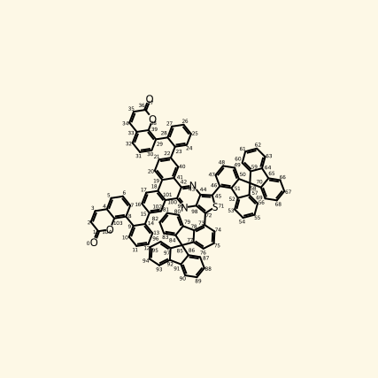 O=c1ccc2cccc(-c3ccccc3-c3ccc4c5ccc(-c6ccccc6-c6cccc7ccc(=O)oc67)cc5c5nc6c(-c7cccc8c7-c7ccccc7C87c8ccccc8-c8ccccc87)sc(-c7cccc8c7-c7ccccc7C87c8ccccc8-c8ccccc87)c6nc5c4c3)c2o1